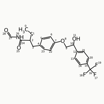 CSC(Cc1ccc(OCC(O)c2ccc(C(F)(F)F)cc2)cc1)C(=O)NC=O